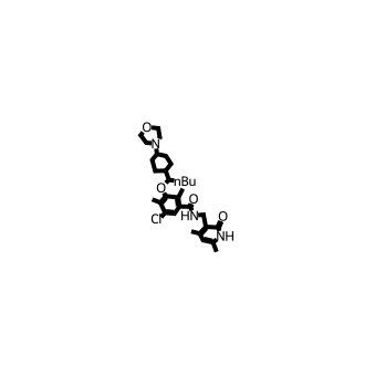 CCCCC(Oc1c(C)c(Cl)cc(C(=O)NCc2c(C)cc(C)[nH]c2=O)c1C)C1CCC(N2CCOCC2)CC1